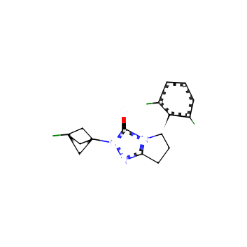 O=c1n(C23CC(F)(C2)C3)nc2n1[C@@H](c1c(F)cccc1F)CC2